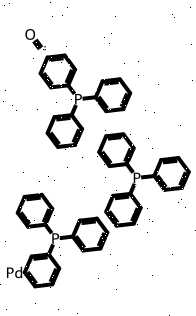 [C]=O.[Pd].c1ccc(P(c2ccccc2)c2ccccc2)cc1.c1ccc(P(c2ccccc2)c2ccccc2)cc1.c1ccc(P(c2ccccc2)c2ccccc2)cc1